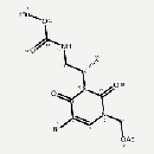 CC(=O)OCn1cc(Br)c(=O)n([C@@H](C)CNC(=O)OC(C)(C)C)c1=O